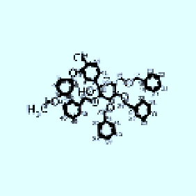 CCOc1ccc(Oc2cc([C@@]3(O)O[C@H](COCc4ccccc4)[C@@H](OCc4ccccc4)[C@H](OCc4ccccc4)[C@H]3OCc3ccccc3)ccc2Cl)cc1